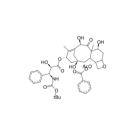 CC(=O)O[C@@]12COC1C[C@H](O)C1(C)C(=O)[C@H](O)C3=C(C)[C@@H](OC(=O)[C@H](O)[C@@H](NC(=O)OC(C)(C)C)c4ccccc4)C[C@](O)(C3)[C@@H](OC(=O)c3ccccc3)C12